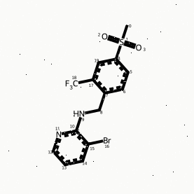 CS(=O)(=O)c1ccc(CNc2ncccc2Br)c(C(F)(F)F)c1